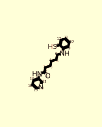 O=C(CCCCCNc1ccccc1S)Nc1cccnc1